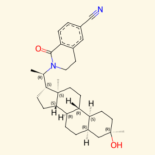 C[C@H]([C@H]1CC[C@H]2[C@@H]3CC[C@@H]4C[C@](C)(O)CC[C@@H]4[C@H]3CC[C@]12C)N1CCc2cc(C#N)ccc2C1=O